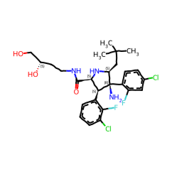 CC(C)(C)C[C@@H]1N[C@H](C(=O)NCC[C@H](O)CO)[C@H](c2cccc(Cl)c2F)[C@@]1(N)c1ccc(Cl)cc1F